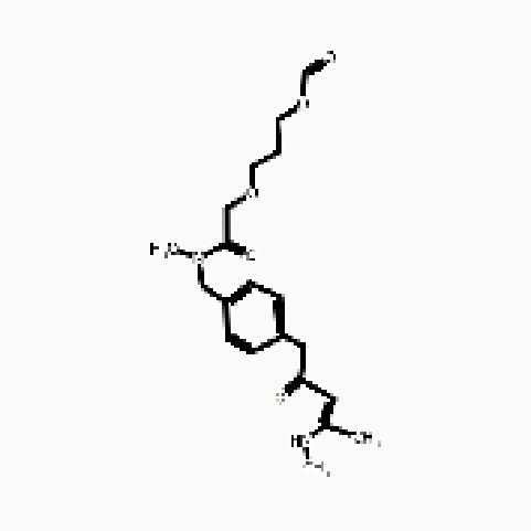 CN/C(C)=C\C(=O)Cc1ccc(CN(C)C(=O)COCCCOC=O)cc1